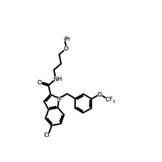 CC(C)OCCCNC(=O)c1cc2cc(Cl)ccc2n1Cc1cccc(OC(F)(F)F)c1